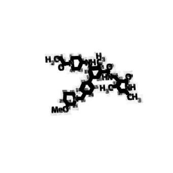 C=CC(=O)N1CCC(Nc2cc(-c3ccc(CN4CCCC(OC)C4)cc3)cc(C(=O)NCc3c(C)cc(C)[nH]c3=O)c2C)CC1